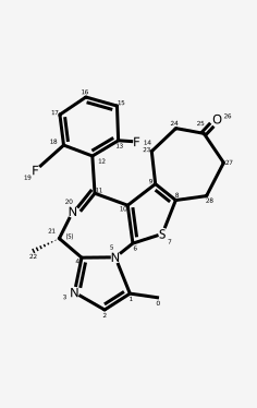 Cc1cnc2n1-c1sc3c(c1C(c1c(F)cccc1F)=N[C@H]2C)CCC(=O)CC3